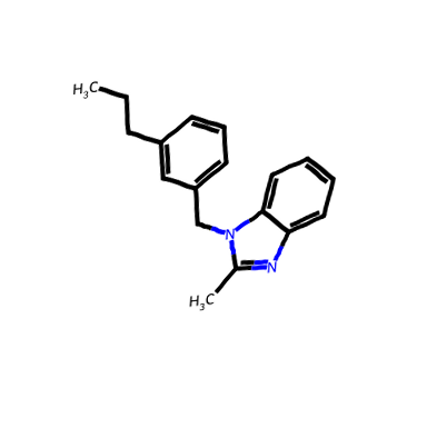 CCCc1cccc(Cn2c(C)nc3ccccc32)c1